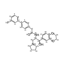 O=C(Cc1ccc(-c2cccc(F)c2)cc1)NC(CN1CCCC1)C(O)c1ccc2c(c1)OCCO2